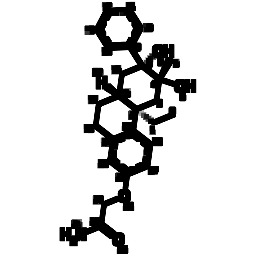 CC[C@@]12C[C@@](C)(O)[C@](O)(c3ccccc3)C[C@H]1CCc1cc(OCC(N)=O)ccc12